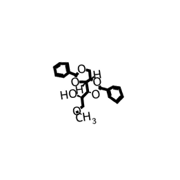 COC[C@@H](O)[C@H]1OC(c2ccccc2)O[C@H]2COC(c3ccccc3)O[C@@H]12